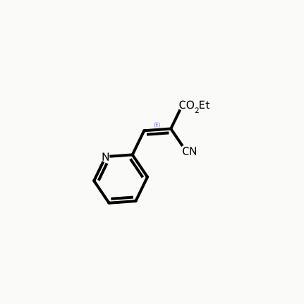 CCOC(=O)/C(C#N)=C/c1ccccn1